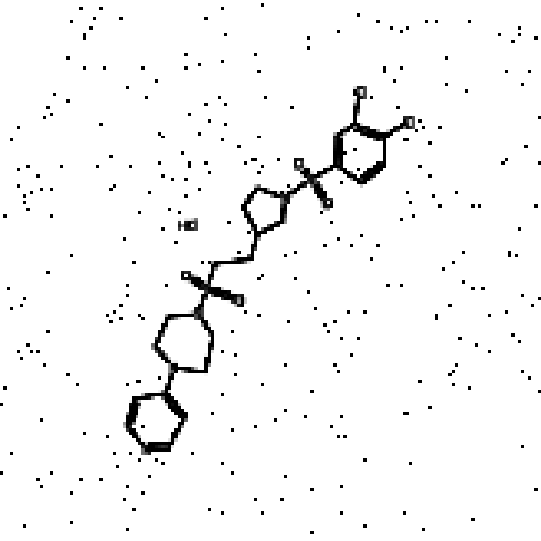 Cl.O=S(=O)(CCC1CCN(S(=O)(=O)c2ccc(Cl)c(Cl)c2)C1)N1CCN(c2ccncc2)CC1